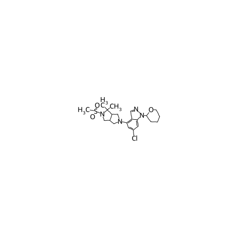 CC1(C)C2CN(c3cc(Cl)cc4c3cnn4C3CCCCO3)CC2CN1S(C)(=O)=O